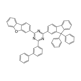 c1ccc(-c2cccc(-c3nc(-c4ccc5c(c4)C(c4ccccc4)(c4ccccc4)c4ccccc4-5)nc(-c4ccc5c(c4)oc4ccccc45)n3)c2)cc1